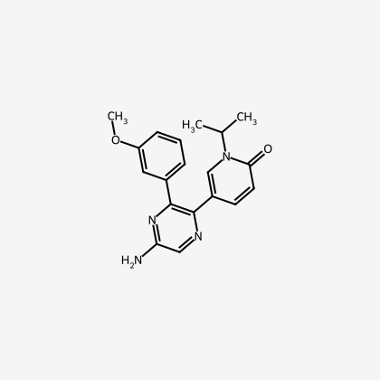 COc1cccc(-c2nc(N)cnc2-c2ccc(=O)n(C(C)C)c2)c1